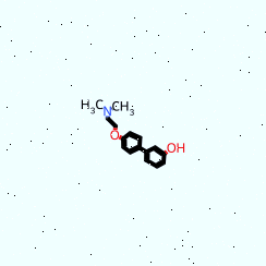 CN(C)CCOc1ccc(-c2cccc(O)c2)cc1